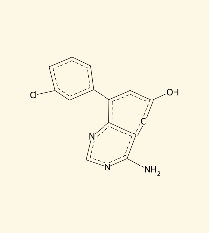 Nc1ncnc2c(-c3cccc(Cl)c3)cc(O)cc12